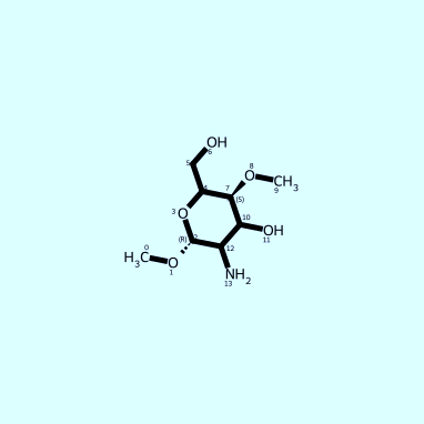 CO[C@@H]1OC(CO)[C@@H](OC)C(O)C1N